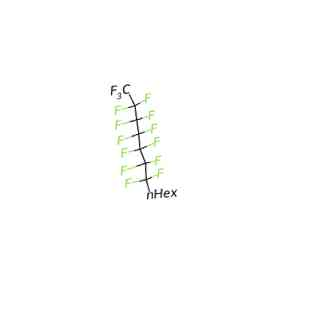 [CH2]CCCCCC(F)(F)C(F)(F)C(F)(F)C(F)(F)C(F)(F)C(F)(F)C(F)(F)F